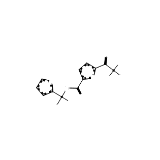 CC(I)(NC(=O)c1ccc(C(=O)C(F)(F)F)s1)c1ccco1